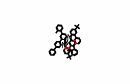 Cc1ccccc1-c1cc2c3c(c1)N(c1ccc(C(C)(C)C)cc1-c1ccccc1)c1ccc4c(c1B3N(c1ccc(C(C)(C)C)cc1)c1cc(-c3ccccc3)ccc1-2)C(C)(C)c1ccccc1-4